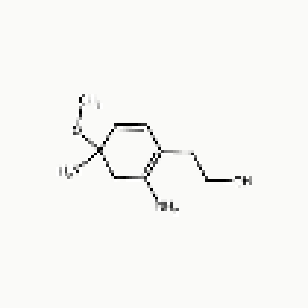 COC1(N)C=CC(CCO)=C(N)C1